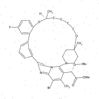 COC(=O)[C@@H](OC(C)(C)C)c1c(C)c(Br)c2nc3cn2c1N1CCC(C)(CC1)OCCCC[C@H](C)Oc1ccc(F)cc1-c1cccc-3c1